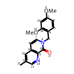 COc1ccc(Cn2ccc3cc(C)cnc3c2=O)c(OC)c1